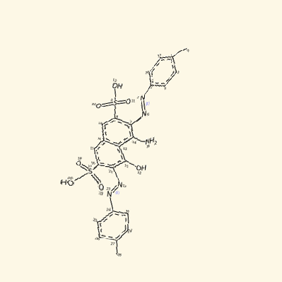 Cc1ccc(/N=N/c2c(S(=O)(=O)O)cc3cc(S(=O)(=O)O)c(/N=N/c4ccc(C)cc4)c(O)c3c2N)cc1